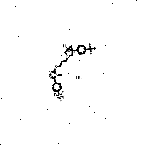 Cl.Cn1c(SCCCN2C[C@@H]3C[C@]3(c3ccc(C(F)(F)F)cc3)C2)nnc1-c1ccc(S(F)(F)(F)(F)F)cc1